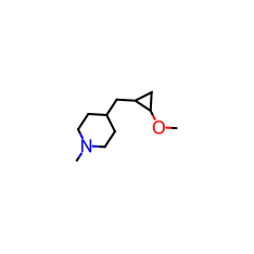 COC1CC1CC1CCN(C)CC1